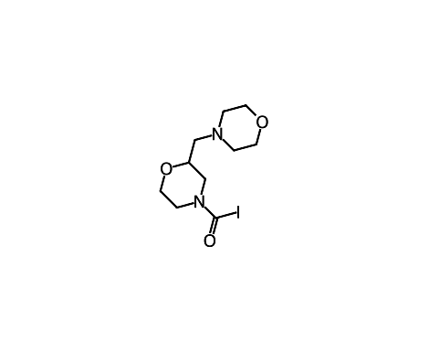 O=C(I)N1CCOC(CN2CCOCC2)C1